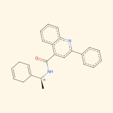 C[C@H](NC(=O)c1cc(-c2ccccc2)nc2ccccc12)C1=CCC=CC1